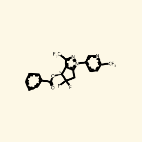 O=C(O[C@H]1c2c(C(F)(F)F)nn(-c3ccc(C(F)(F)F)nc3)c2CC1(F)F)c1ccccc1